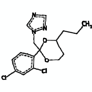 CCCC1CCOC(Cn2cncn2)(c2ccc(Cl)cc2Cl)O1